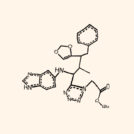 CC(C(Cc1ccccc1)C1=COCO1)C(Nc1ccc2[nH]cnc2c1)c1nnnn1CC(=O)OC(C)(C)C